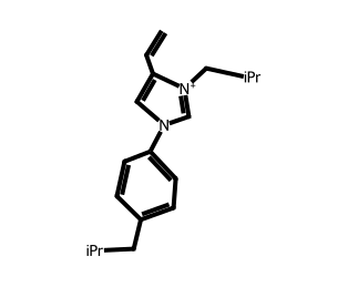 C=Cc1cn(-c2ccc(CC(C)C)cc2)c[n+]1CC(C)C